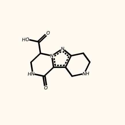 O=C1NCC(C(=O)O)n2nc3c(c21)CNCC3